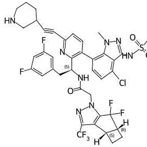 Cn1nc(NS(C)(=O)=O)c2c(Cl)ccc(-c3ccc(C#CC4CCCNC4)nc3[C@H](Cc3cc(F)cc(F)c3)NC(=O)Cn3nc(C(F)(F)F)c4c3C(F)(F)[C@@H]3CC[C@H]43)c21